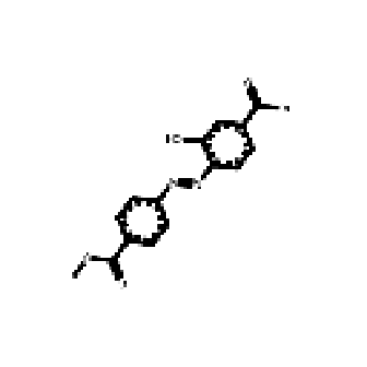 COC(=O)c1ccc(N=Nc2ccc(C(=O)O)cc2O)cc1